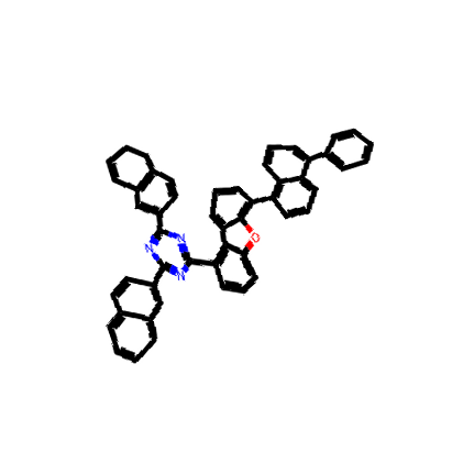 C1=Cc2cc(-c3nc(-c4ccc5ccccc5c4)nc(-c4cccc5oc6c(-c7cccc8c(-c9ccccc9)cccc78)cccc6c45)n3)ccc2CC1